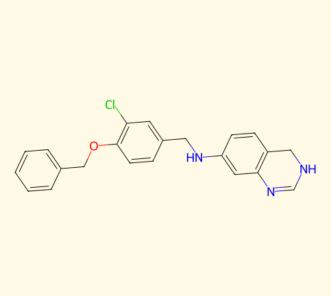 Clc1cc(CNc2ccc3c(c2)N=CNC3)ccc1OCc1ccccc1